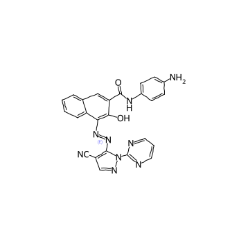 N#Cc1cnn(-c2ncccn2)c1/N=N/c1c(O)c(C(=O)Nc2ccc(N)cc2)cc2ccccc12